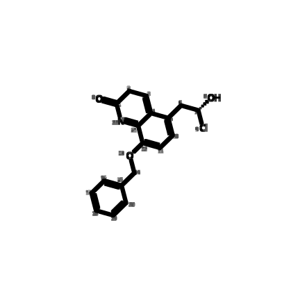 O=C1CC=c2c(C[C@H](O)Cl)ccc(OCc3ccccc3)c2=N1